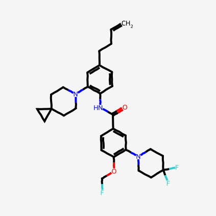 C=CCCc1ccc(NC(=O)c2ccc(OCF)c(N3CCC(F)(F)CC3)c2)c(N2CCC3(CC2)CC3)c1